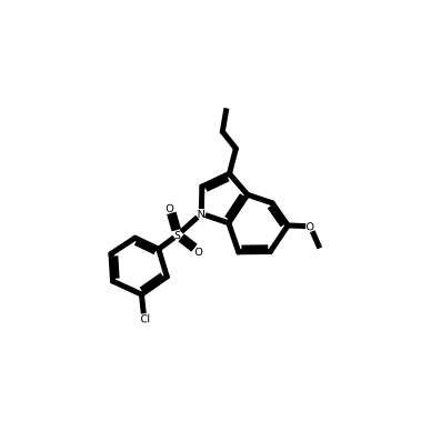 CCCc1cn(S(=O)(=O)c2cccc(Cl)c2)c2ccc(OC)cc12